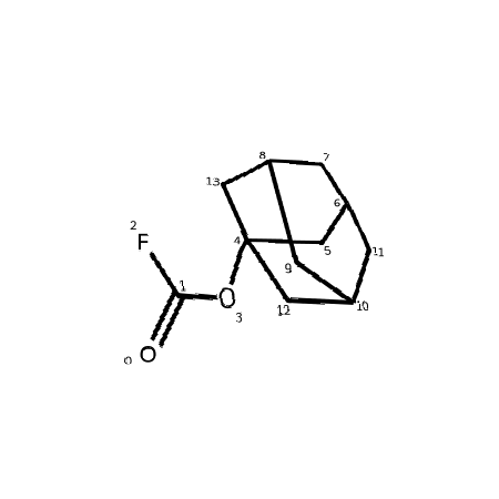 O=C(F)OC12CC3CC(CC(C3)C1)C2